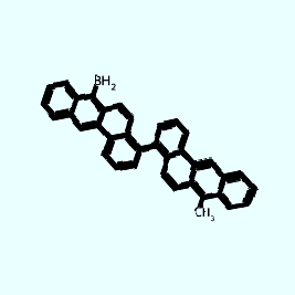 Bc1c2ccccc2cc2c1ccc1c(-c3cccc4c3ccc3c(C)c5ccccc5cc34)cccc12